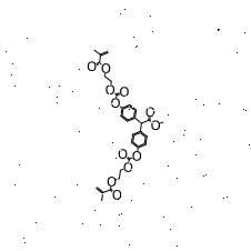 C=C(C)C(=O)OCCOC(=O)Oc1ccc(C(C(=O)OC)c2ccc(OC(=O)OCCOC(=O)C(=C)C)cc2)cc1